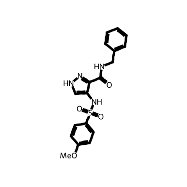 COc1ccc(S(=O)(=O)Nc2c[nH]nc2C(=O)NCc2ccccc2)cc1